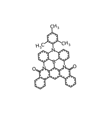 Cc1cc(C)c(N2c3cccc4c3B3c5c2cccc5-n2c(=O)c5ccccc5c5cc6c7ccccc7c(=O)n-4c6c3c52)c(C)c1